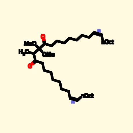 CCCCCCCC/C=C\CCCCCCCC(=O)C(C)C(OC)(OC)C(=O)CCCCCCC/C=C\CCCCCCCC